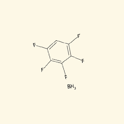 Fc1cc(F)c(F)c(F)c1F.[BiH3]